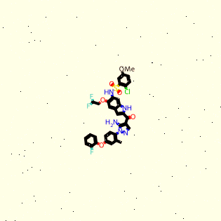 COc1ccc(Cl)c(S(=O)(=O)Nc2cc3[nH]c(C(=O)c4cnn(-c5ccc(Oc6ccccc6F)cc5C)c4N)cc3cc2OCC(F)F)c1